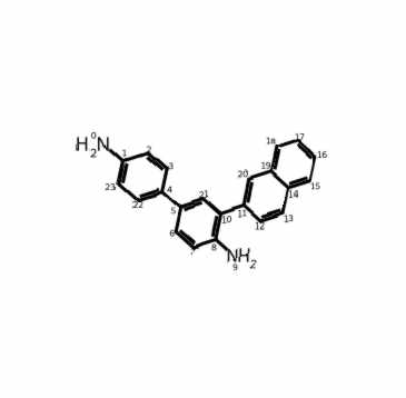 Nc1ccc(-c2ccc(N)c(-c3ccc4ccccc4c3)c2)cc1